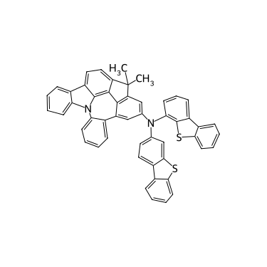 CC1(C)c2cc(N(c3ccc4c(c3)sc3ccccc34)c3cccc4c3sc3ccccc34)cc3c2-c2c1ccc1c4ccccc4n(c21)-c1ccccc1-3